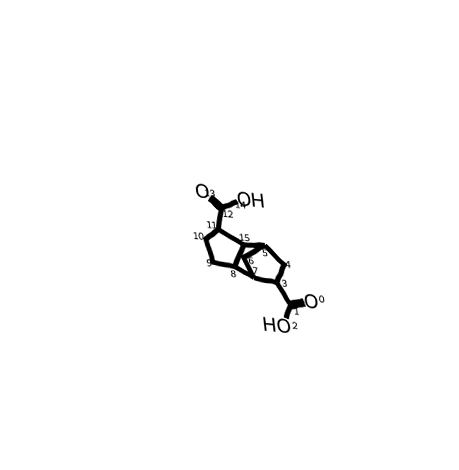 O=C(O)C1CC2CC1C1CCC(C(=O)O)C21